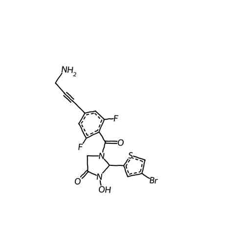 NCC#Cc1cc(F)c(C(=O)N2CC(=O)N(O)C2c2cc(Br)cs2)c(F)c1